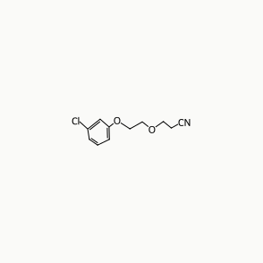 N#CCCOCCOc1cccc(Cl)c1